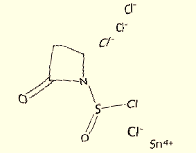 O=C1CCN1S(=O)Cl.[Cl-].[Cl-].[Cl-].[Cl-].[Sn+4]